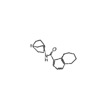 O=C(NC1CN2CCC1CC2)c1cccc2c1CCCCC2